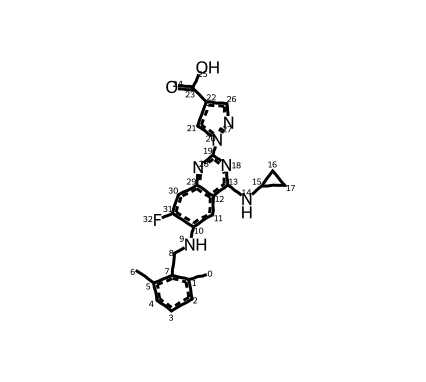 Cc1cccc(C)c1CNc1cc2c(NC3CC3)nc(-n3cc(C(=O)O)cn3)nc2cc1F